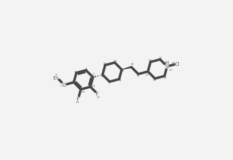 CCOc1ccc([C@H]2CC[C@H](CCC3CC[SiH](Cl)CC3)CC2)c(F)c1F